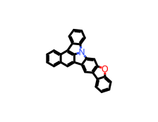 c1ccc2c(c1)cc1c3cc4c(cc3n3c5ccccc5c2c13)oc1ccccc14